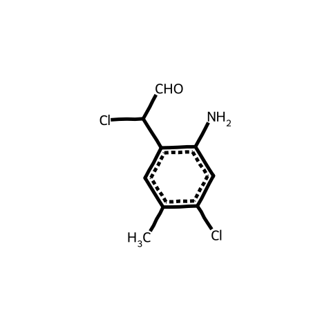 Cc1cc(C(Cl)C=O)c(N)cc1Cl